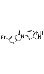 C=C1c2cc(CC)ccc2CN1c1ccc2[nH]ncc2c1